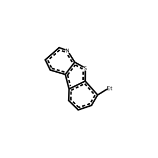 CCc1cccc2c1sc1ncccc12